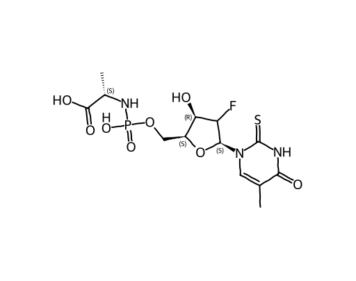 Cc1cn([C@H]2O[C@@H](COP(=O)(O)N[C@@H](C)C(=O)O)[C@@H](O)C2F)c(=S)[nH]c1=O